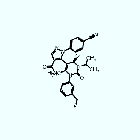 Cc1c(-c2c(C(N)=O)cnn2-c2ccc(C#N)cc2)c(=O)n(C(C)C)c(=O)n1-c1cccc(CF)c1